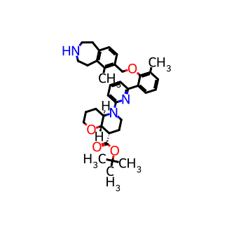 Cc1cccc(-c2cccc(N3CC[C@H](C(=O)OC(C)(C)C)[C@@H]4OCCC[C@H]43)n2)c1OCc1ccc2c(c1C)CCNCC2